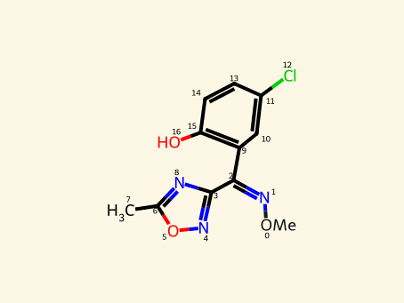 CON=C(c1noc(C)n1)c1cc(Cl)ccc1O